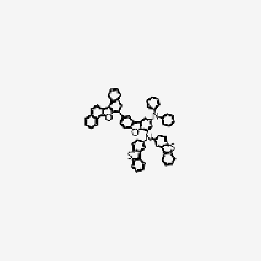 c1ccc(N(c2ccccc2)c2cc(N(c3ccc4sc5ccccc5c4c3)c3ccc4sc5ccccc5c4c3)c3oc4ccc(-c5cc6ccccc6c6c5oc5c7ccccc7ccc56)cc4c3c2)cc1